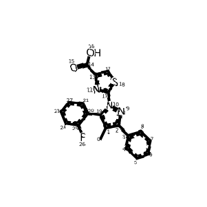 Cc1c(-c2ccccc2)nn(-c2nc(C(=O)O)cs2)c1-c1ccccc1F